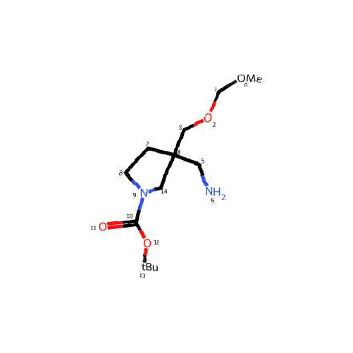 COCOCC1(CN)CCN(C(=O)OC(C)(C)C)C1